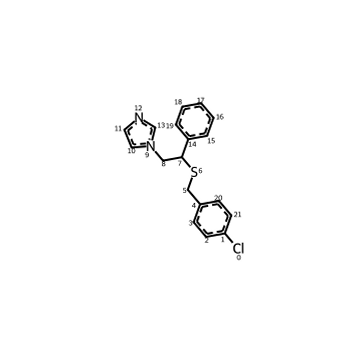 Clc1ccc(CSC(Cn2ccnc2)c2ccccc2)cc1